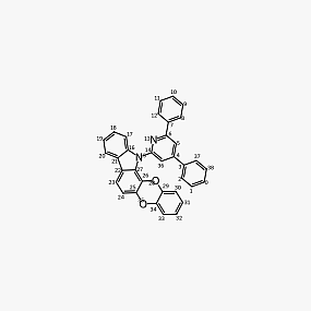 c1ccc(-c2cc(-c3ccccc3)nc(-n3c4ccccc4c4ccc5c(c43)Oc3ccccc3O5)c2)cc1